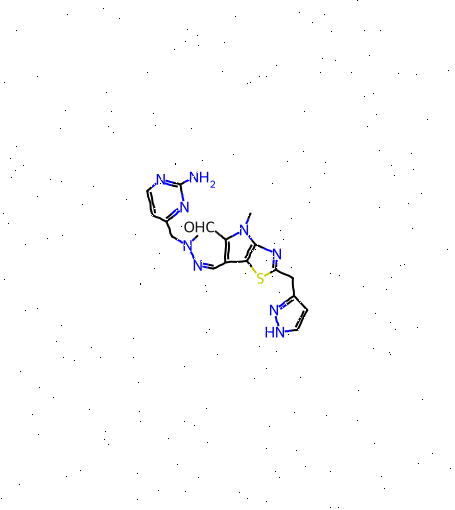 CN(Cc1ccnc(N)n1)/N=C\c1c(C=O)n(C)c2nc(Cc3cc[nH]n3)sc12